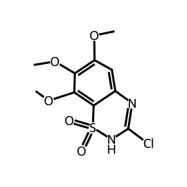 COc1cc2c(c(OC)c1OC)S(=O)(=O)NC(Cl)=N2